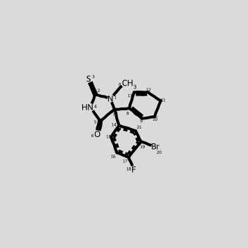 CN1C(=S)NC(=O)C1(C1=C[CH]CC=C1)c1ccc(F)c(Br)c1